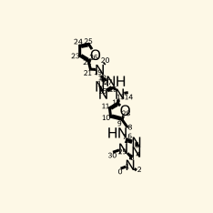 CN(C)c1nnc(NCc2ccc(N(C)c3nnc(N(C)Cc4ccco4)[nH]3)o2)n1C